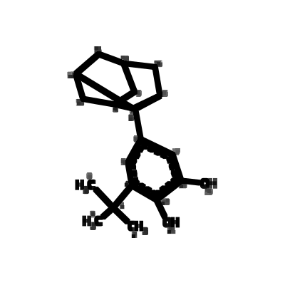 CC(C)(C)c1cc(C2C3CC4CC(C3)CC2C4)cc(O)c1O